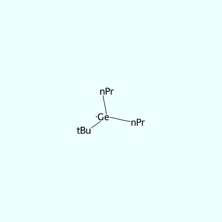 CC[CH2][Ge]([CH2]CC)[C](C)(C)C